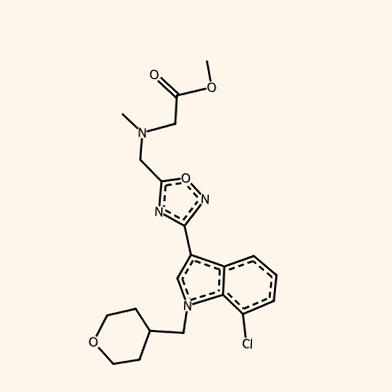 COC(=O)CN(C)Cc1nc(-c2cn(CC3CCOCC3)c3c(Cl)cccc23)no1